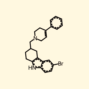 Brc1ccc2[nH]c3c(c2c1)CC(CN1CC=C(c2ccccc2)CC1)CC3